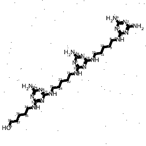 Nc1nc(N)nc(NCCCCCNc2nc(N)nc(NCCCCCNc3nc(N)nc(NCCCCCO)n3)n2)n1